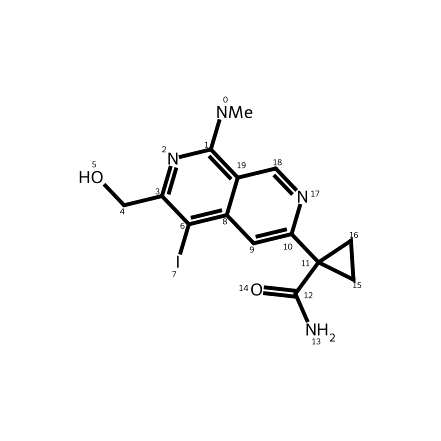 CNc1nc(CO)c(I)c2cc(C3(C(N)=O)CC3)ncc12